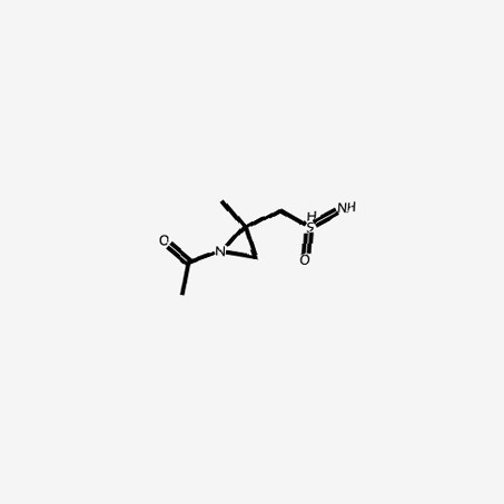 CC(=O)N1CC1(C)C[SH](=N)=O